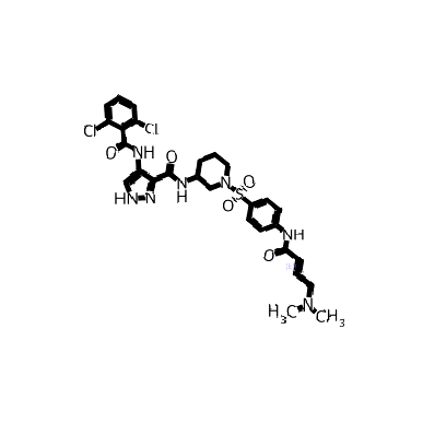 CN(C)C/C=C/C(=O)Nc1ccc(S(=O)(=O)N2CCCC(NC(=O)c3n[nH]cc3NC(=O)c3c(Cl)cccc3Cl)C2)cc1